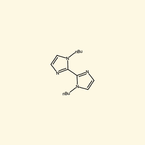 CCCCn1ccnc1-c1nccn1CCCC